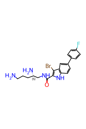 NCCC[C@H](N)CNC(=O)c1[nH]c2ccc(-c3ccc(F)cc3)cc2c1Br